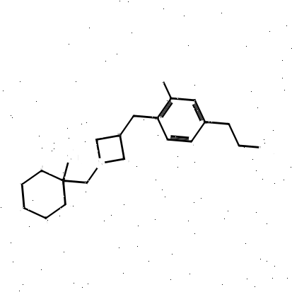 BCCc1ccc(CC2CN(CC3(N)CCCCC3)C2)c(C)c1